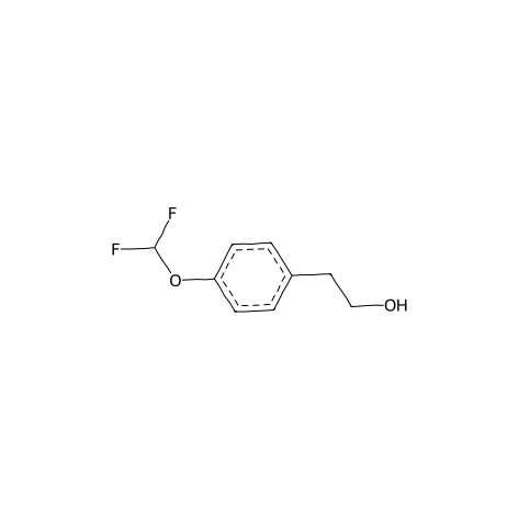 OCCc1ccc(OC(F)F)cc1